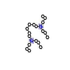 c1ccc(-c2ccc3cc(-c4nc(-c5ccc(-c6cccc7ccccc67)cc5)nc(-c5ccc6cc(-c7cccc(-c8cccc(-c9ccc%10cc(-c%11nc(-c%12ccc(-c%13cccc%14ccccc%13%14)cc%12)nc(-c%12ccc%13ccc(-c%14ccccc%14)cc%13c%12)n%11)ccc%10c9)c8)c7)ccc6c5)n4)ccc3c2)cc1